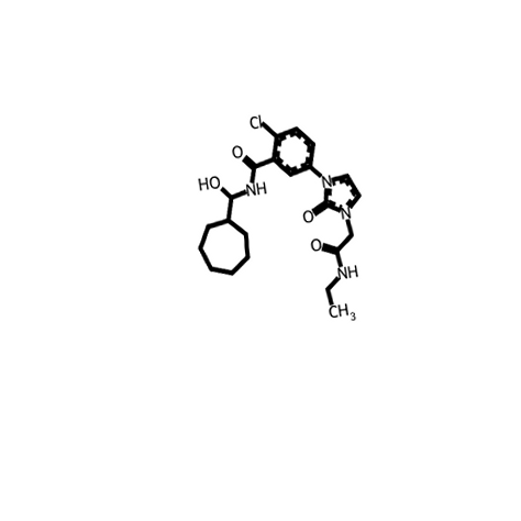 CCNC(=O)Cn1ccn(-c2ccc(Cl)c(C(=O)NC(O)C3CCCCCC3)c2)c1=O